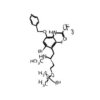 CC(C)(C)[Si](C)(C)OCC[C@H](Cc1c(Br)cc(OCc2ccccc2)c(NC(=O)C(F)(F)F)c1F)NC(=O)O